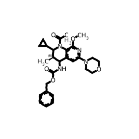 COc1nc(N2CCOCC2)cc2c1N(C(C)=O)C(C1CC1)[C@H](C)C2NC(=O)OCc1ccccc1